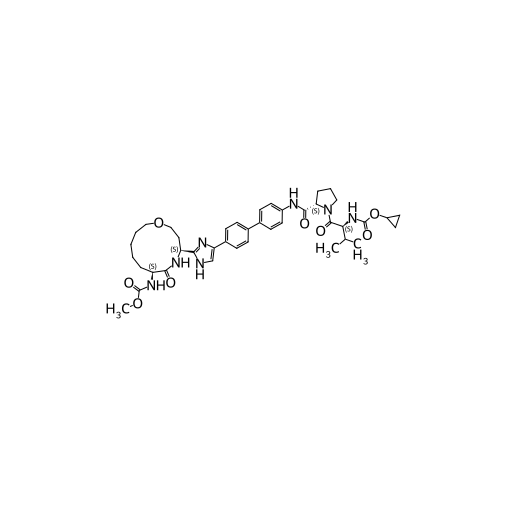 COC(=O)N[C@H]1CCCCCOCC[C@@H](c2nc(-c3ccc(-c4ccc(NC(=O)[C@@H]5CCCN5C(=O)[C@@H](NC(=O)OC5CC5)C(C)C)cc4)cc3)c[nH]2)NC1=O